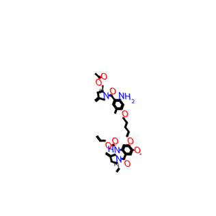 C=CCOC(=O)Nc1cc(OCCCCCOc2cc(N)c(C(=O)N3CC(=C)C[C@H]3COC(C)=O)cc2C)c(OC)cc1C(=O)N1CC(=C)C[C@H]1CC